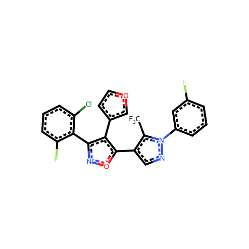 Fc1cccc(-n2ncc(-c3onc(-c4c(F)cccc4Cl)c3-c3ccoc3)c2C(F)(F)F)c1